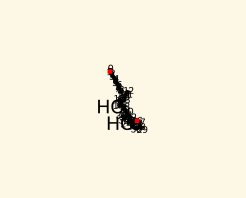 CCCCCCCCCC[C@H](CC)CC(C)C(O)CCCC(CC(O)C1CCC(C)CC1)C(C)C